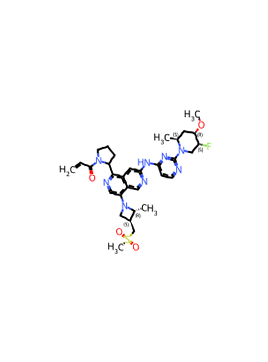 C=CC(=O)N1CCCC1c1ncc(N2C[C@H](CS(C)(=O)=O)[C@H]2C)c2cnc(Nc3ccnc(N4C[C@H](F)[C@H](OC)C[C@@H]4C)n3)cc12